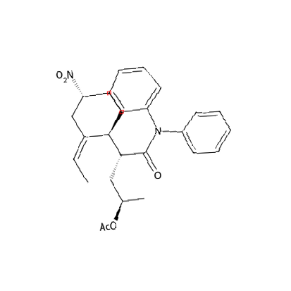 C/C=C1/C[C@H]([N+](=O)[O-])CC[C@H]1[C@@H](C[C@@H](C)OC(C)=O)C(=O)N(c1ccccc1)c1ccccc1